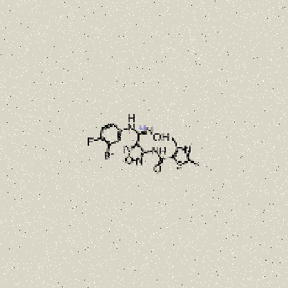 Cc1nc(C)c(C(=O)Nc2nonc2/C(=N\O)Nc2ccc(F)c(Br)c2)s1